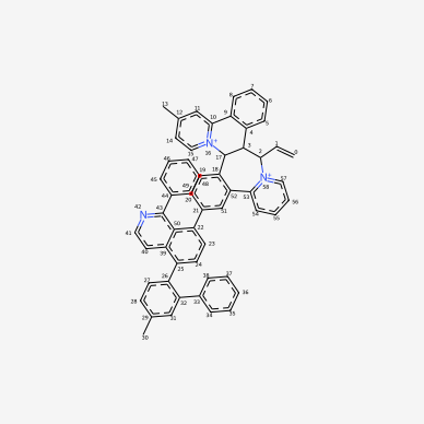 C=CC1C2c3ccccc3-c3cc(C)cc[n+]3C2c2ccc(-c3ccc(-c4ccc(C)cc4-c4ccccc4)c4ccnc(-c5ccccc5)c34)cc2-c2cccc[n+]21